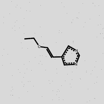 CCOC=Cc1cncnc1